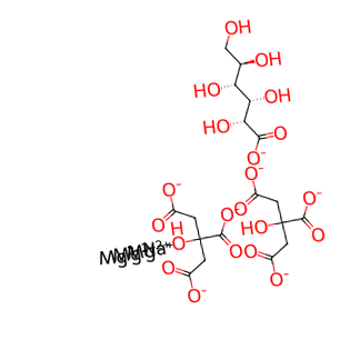 O=C([O-])CC(O)(CC(=O)[O-])C(=O)[O-].O=C([O-])CC(O)(CC(=O)[O-])C(=O)[O-].O=C([O-])[C@H](O)[C@@H](O)[C@H](O)[C@H](O)CO.[Mg+2].[Mg+2].[Mg+2].[Na+]